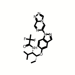 CC[C@@H](Oc1ccc2c(cnn2-c2cn3cnnc3cn2)c1)[C@@H](NC(=O)C(C)(F)F)C(C)C